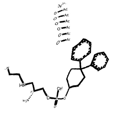 CC(=O)[O-].CC(=O)[O-].CC(=O)[O-].CC(=O)[O-].CC(=O)[O-].CC(=O)[O-].NCCNC[C@@H](N)COP(=O)(O)OC1CCC(c2ccccc2)(c2ccccc2)CC1.[Dy+3].[Dy+3]